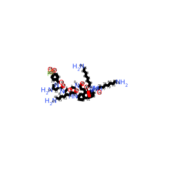 CN(CCOCCN(C)C(=O)[C@@H]1C[C@H](N)CN1C(=O)c1ccc(S(=O)(=O)F)cc1)C(=O)CCC12c3cc(NC(=O)CCCCCCCN)ccc3C(C3=CC=C(NC(=O)CCCCCCCN)C1C3)c1ccc(NC(=O)CCCCCCCN)cc12